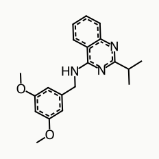 COc1cc(CNc2nc(C(C)C)nc3ccccc23)cc(OC)c1